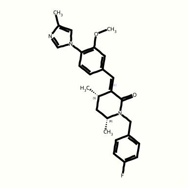 COc1cc(/C=C2/C(=O)N(Cc3ccc(F)cc3)[C@H](C)C[C@@H]2C)ccc1-n1cnc(C)c1